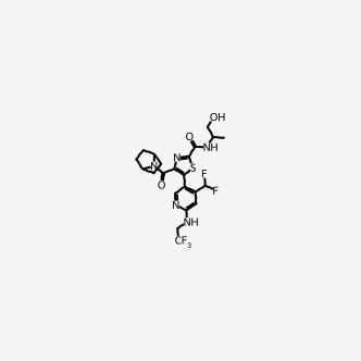 CC(CO)NC(=O)c1nc(C(=O)N2C3CCC2CC3)c(-c2cnc(NCC(F)(F)F)cc2C(F)F)s1